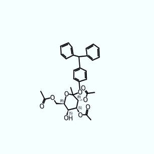 CC(=O)OC[C@H]1OC(C)(Oc2ccc(C(c3ccccc3)c3ccccc3)cc2)[C@H](OC(C)=O)[C@@H](OC(C)=O)[C@H]1O